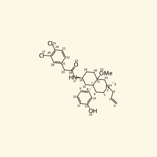 C=CC[N@@+]1(C)CC[C@@]2(c3cccc(O)c3)C[C@@H](NC(=O)Cc3ccc(Cl)c(Cl)c3)CCC2(OC)C1